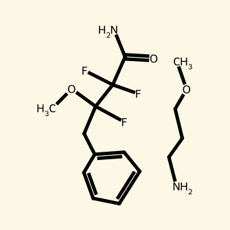 COC(F)(Cc1ccccc1)C(F)(F)C(N)=O.COCCCN